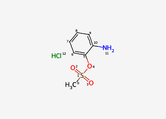 CS(=O)(=O)Oc1ccccc1N.Cl